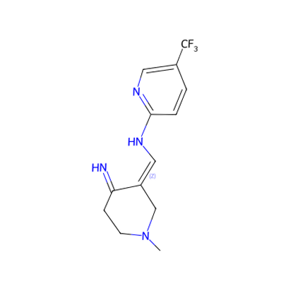 CN1CCC(=N)/C(=C\Nc2ccc(C(F)(F)F)cn2)C1